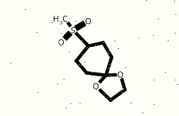 CS(=O)(=O)C1CCC2(CC1)OCCO2